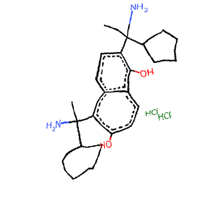 CC(N)(c1ccc2c(C(C)(N)C3CCCC3)c(O)ccc2c1O)C1CCCC1.Cl.Cl